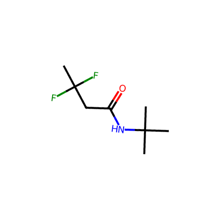 CC(F)(F)CC(=O)NC(C)(C)C